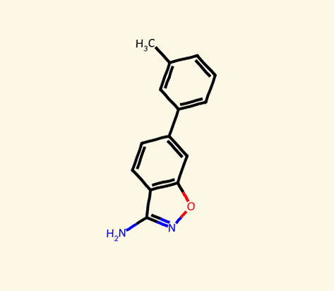 Cc1cccc(-c2ccc3c(N)noc3c2)c1